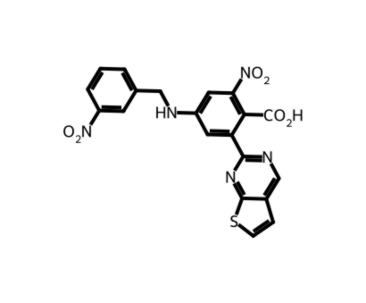 O=C(O)c1c(-c2ncc3ccsc3n2)cc(NCc2cccc([N+](=O)[O-])c2)cc1[N+](=O)[O-]